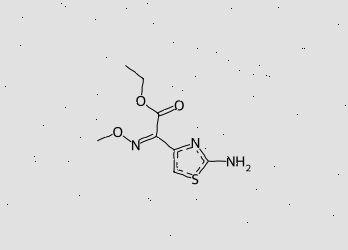 CCOC(=O)C(=NOC)c1csc(N)n1